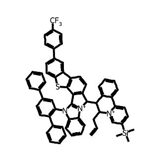 C=CCC1C(C2c3ccc4c(sc5ccc(-c6ccc(C(F)(F)F)cc6)cc54)c3-c3n(-c4cc(-c5ccccc5)ccc4-c4ccccc4)c4ccccc4[n+]32)c2ccccc2-c2ccc([Si](C)(C)C)c[n+]21